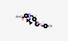 COC(=O)c1ccc2nc(Cc3ccc(-c4cccc(OCc5ccc(C#N)cc5F)n4)cc3F)n(CC3(C4CC4)CC3)c2c1